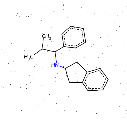 CC(C)C(NC1Cc2ccccc2C1)c1ccccc1